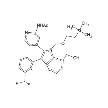 CC(=O)Nc1cc(-c2c(-c3cccc(C(F)F)n3)c3nccc(CO)c3n2COCC[Si](C)(C)C)ccn1